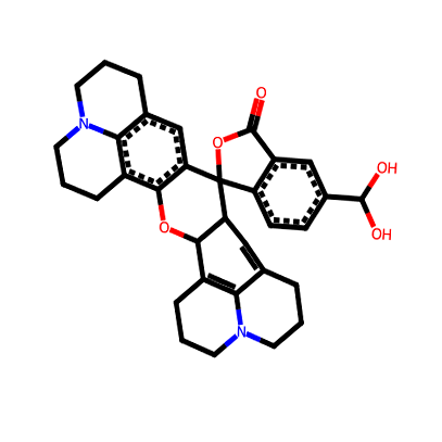 O=C1OC2(c3ccc(C(O)O)cc31)c1cc3c4c(c1OC1C5=C6C(=CC12)CCCN6CCC5)CCCN4CCC3